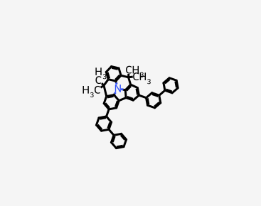 CC1(C)c2cccc3c2-n2c4c1cc(-c1cccc(-c5ccccc5)c1)cc4c1cc(-c4cccc(-c5ccccc5)c4)cc(c12)C3(C)C